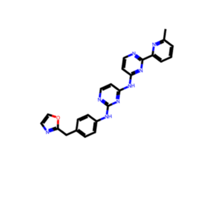 Cc1cccc(-c2nccc(Nc3ccnc(Nc4ccc(Cc5ncco5)cc4)n3)n2)n1